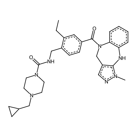 CCc1cc(C(=O)N2Cc3cnn(C)c3Nc3ccccc32)ccc1CNC(=O)N1CCN(CC2CC2)CC1